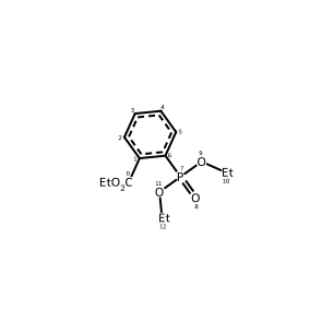 CCOC(=O)c1ccccc1P(=O)(OCC)OCC